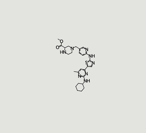 COC(=O)C1CN(Cc2ccc(Nc3ncc(-c4cc(C)nc(NC5CCCCC5)n4)s3)nc2)CCN1